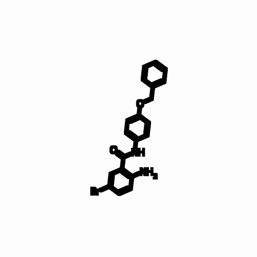 Nc1ccc(Br)cc1C(=O)Nc1ccc(OCc2ccccc2)cc1